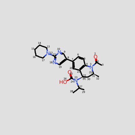 CC(=O)N1c2ccc(-c3cnc(N4CCCCC4)nc3)cc2[C@H](N(C(=O)O)C(C)C)C[C@@H]1C